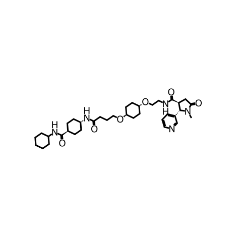 CN1C(=O)C[C@H](C(=O)NCCO[C@H]2CC[C@H](OCCCC(=O)N[C@H]3CC[C@H](C(=O)NC4CCCCC4)CC3)CC2)[C@H]1c1cccnc1